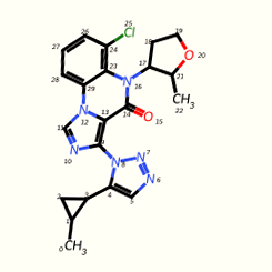 CC1CC1c1cnnn1-c1ncn2c1c(=O)n(C1CCOC1C)c1c(Cl)cccc12